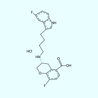 Cl.O=C(O)c1ccc(F)c2c1C[C@@H](NCCCCc1c[nH]c3ccc(F)cc13)CO2